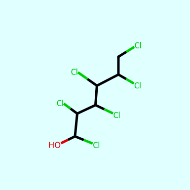 OC(Cl)C(Cl)C(Cl)C(Cl)C(Cl)CCl